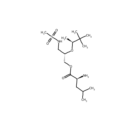 CC(C)C[C@H](N)C(=O)OC[C@H](CNS(C)(=O)=O)O[C@@H](C)C(C)(C)C